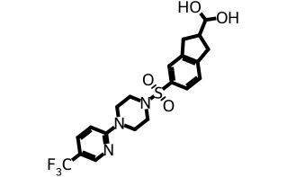 O=S(=O)(c1ccc2c(c1)CC(C(O)O)C2)N1CCN(c2ccc(C(F)(F)F)cn2)CC1